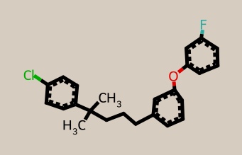 CC(C)(CCCc1cccc(Oc2cccc(F)c2)c1)c1ccc(Cl)cc1